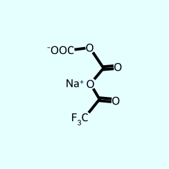 O=C([O-])OC(=O)OC(=O)C(F)(F)F.[Na+]